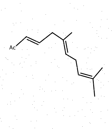 CC(=O)C=CCC(C)=CCC=C(C)C